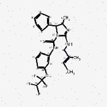 C/C=C(\C)CNC1=NC(C)C(c2ccccc2)N1C(=S)Nc1cccc(OC(F)(F)C(F)F)c1